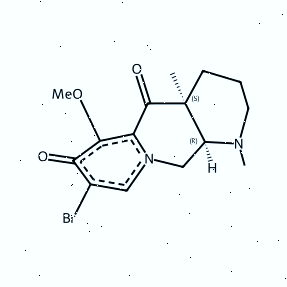 COc1c2n(cc(Br)c1=O)C[C@@H]1N(C)CCC[C@]1(C)C2=O